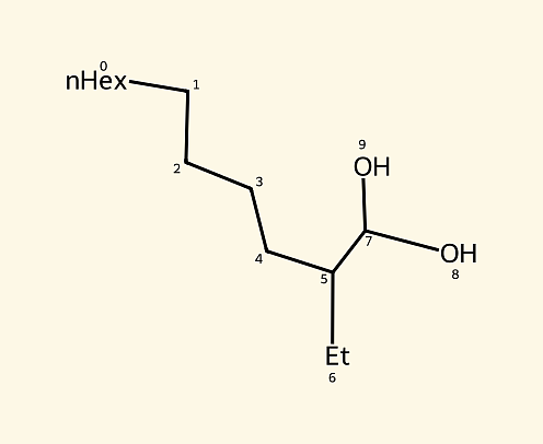 CCCCCCCCCCC(CC)C(O)O